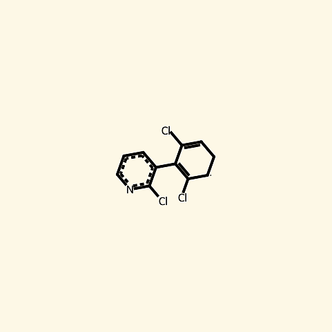 ClC1=CC[CH]C(Cl)=C1c1cccnc1Cl